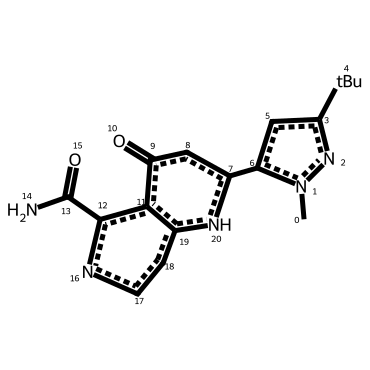 Cn1nc(C(C)(C)C)cc1-c1cc(=O)c2c(C(N)=O)nccc2[nH]1